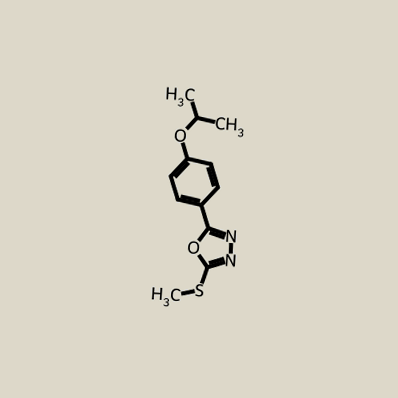 CSc1nnc(-c2ccc(OC(C)C)cc2)o1